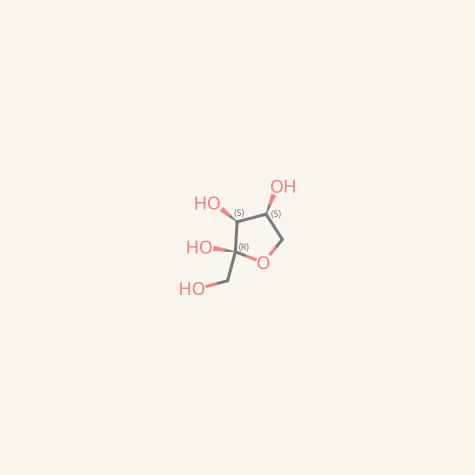 OC[C@@]1(O)OC[C@H](O)[C@@H]1O